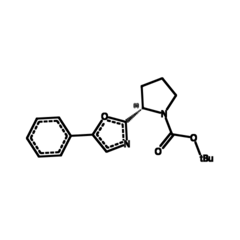 CC(C)(C)OC(=O)N1CCC[C@H]1c1ncc(-c2ccccc2)o1